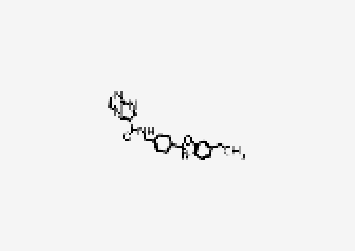 CCc1ccc2nc(-c3ccc(CNC(=O)c4cnc5nccn5c4)cc3)oc2c1